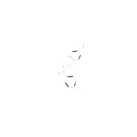 [CH]C(OCc1ccc(Cl)cc1Cl)c1ccc(Cl)cc1Cl